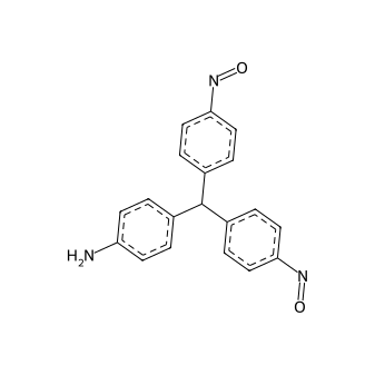 Nc1ccc(C(c2ccc(N=O)cc2)c2ccc(N=O)cc2)cc1